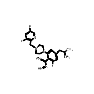 CC(C)Cc1cc(F)c(C(=N)N=N)c(N2CCN(Cc3ncc(F)cc3F)CC2)c1